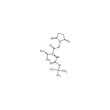 C=C(C)[C@H](NC(=O)OC(C)(C)C)C(=O)ON1C(=O)CCC1=O